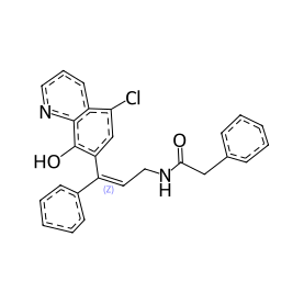 O=C(Cc1ccccc1)NC/C=C(/c1ccccc1)c1cc(Cl)c2cccnc2c1O